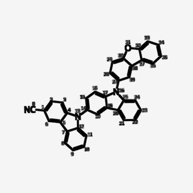 N#Cc1ccc2c(c1)c1ccccc1n2-c1ccc2c(c1)c1ccccc1n2-c1ccc2oc3ccccc3c2c1